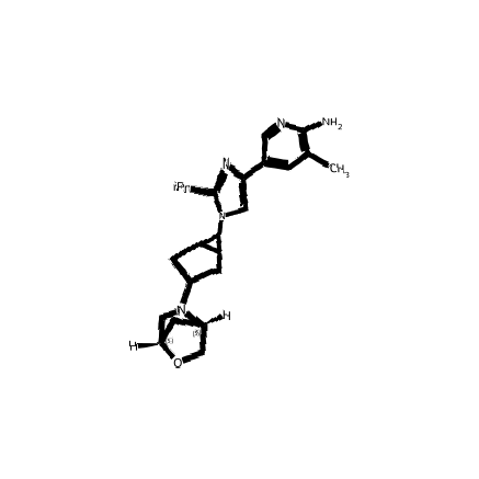 Cc1cc(-c2cn(C3C4CC(N5C[C@@H]6C[C@H]5CO6)CC43)c(C(C)C)n2)cnc1N